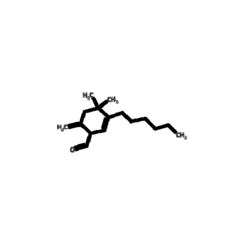 C=C1CC(C)(C)C(CCCCCC)=CC1C=O